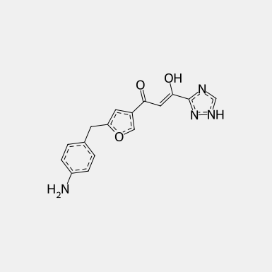 Nc1ccc(Cc2cc(C(=O)C=C(O)c3nc[nH]n3)co2)cc1